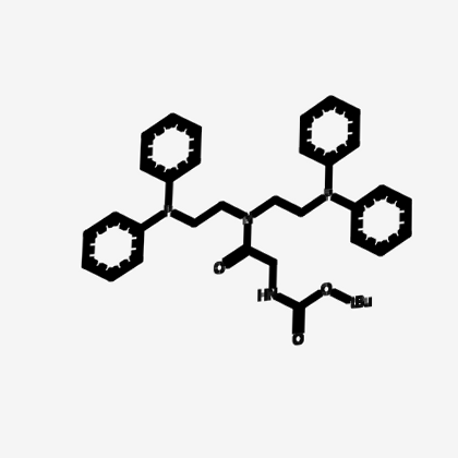 CC(C)(C)OC(=O)NCC(=O)N(CCP(c1ccccc1)c1ccccc1)CCP(c1ccccc1)c1ccccc1